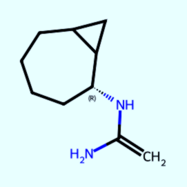 C=C(N)N[C@@H]1CCCCC2CC21